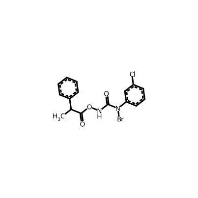 CC(C(=O)ONC(=O)N(Br)c1cccc(Cl)c1)c1ccccc1